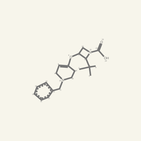 CC(C)(C)C1C(OC2=CCN(Cc3ccccc3)CC2)CN1C(=O)O